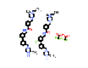 CCC[N+]1(C)CCN(Cc2cccc(C(=O)NCc3ccc(F)c(-c4cccc(CN5CCN[C@@H](C)C5)c4)c3)c2)CC1.CCC[N+]1(C)CCN(Cc2cccc(C(=O)NCc3ccc(F)c(-c4cccc(CN5CCN[C@@H](C)C5)c4)c3)c2)CC1.O=C([O-])C(F)(F)F.O=C([O-])C(F)(F)F